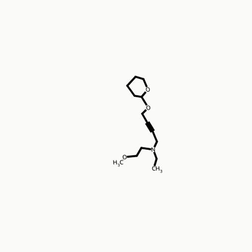 CCN(CC#CCOC1CCCCO1)CCOC